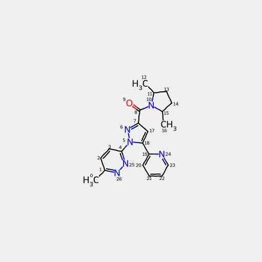 Cc1ccc(-n2nc(C(=O)N3C(C)CCC3C)cc2-c2ccccn2)nn1